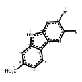 Cc1nc2c(cc1Br)[nH]c1cc(C(=O)O)ccc12